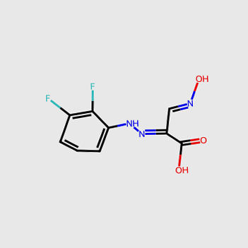 O=C(O)C(/C=N/O)=N/Nc1cccc(F)c1F